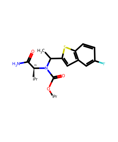 CC(C)OC(=O)N(C(C)c1cc2cc(F)ccc2s1)[C@H](C(N)=O)C(C)C